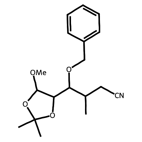 COC1OC(C)(C)OC1C(OCc1ccccc1)C(C)CC#N